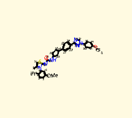 COc1ccc(C(C)C)c(-n2c(C)cs/c2=N\C(=O)NC2CCC(c3ccc(-c4ncn(-c5ccc(OC(F)(F)F)cc5)n4)cc3)C2)c1